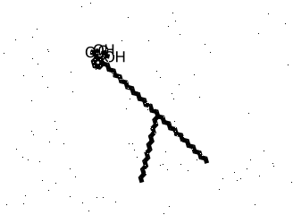 CCCCCCCCCCCCCCCCC(CCCCCCCCCCCCCCCC)CCCCCCCCCCCCCCCCCc1cccc(C(=O)O)c1C(=O)O